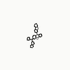 c1ccc(N(c2ccc3c(c2)Oc2ccccc2N3c2ccc3c(c2)sc2ccccc23)c2ccc3ccccc3c2)cc1